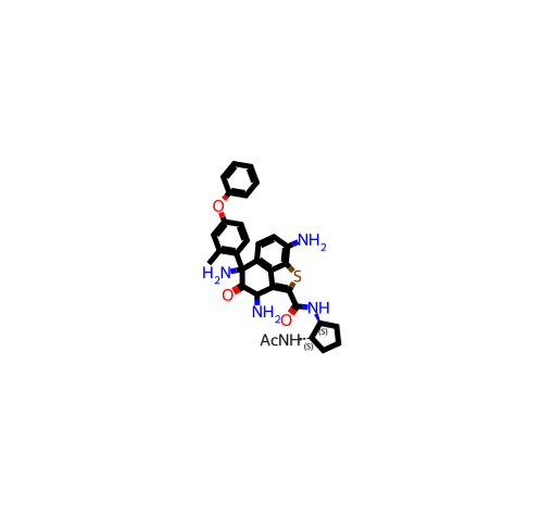 CC(=O)N[C@H]1CCC[C@@H]1NC(=O)c1sc2c(N)ccc3c2c1C(N)C(=O)C3(N)c1ccc(Oc2ccccc2)cc1C